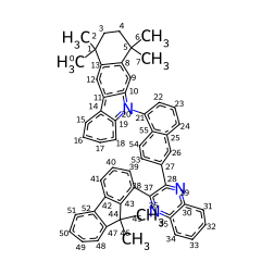 CC1(C)CCC(C)(C)c2cc3c(cc21)c1ccccc1n3-c1cccc2cc(-c3nc4ccccc4nc3-c3cccc4c3C(C)(C)c3ccccc3-4)ccc12